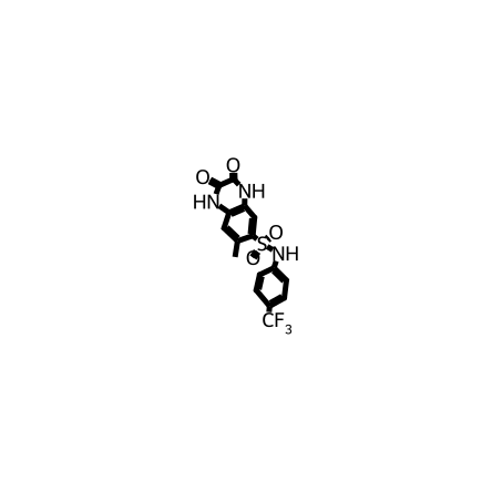 Cc1cc2[nH]c(=O)c(=O)[nH]c2cc1S(=O)(=O)Nc1ccc(C(F)(F)F)cc1